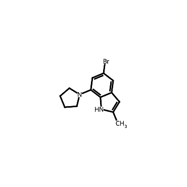 Cc1cc2cc(Br)cc(N3CCCC3)c2[nH]1